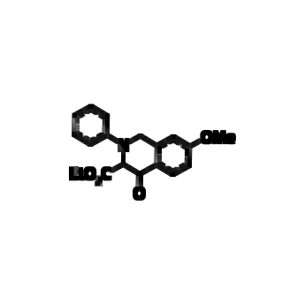 CCOC(=O)C1C(=O)c2ccc(OC)cc2CN1c1ccccc1